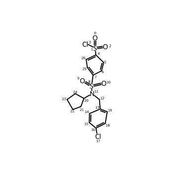 O=S(=O)(Cl)c1ccc(S(=O)(=O)N(Cc2ccc(Cl)cc2)C2CCCC2)cc1